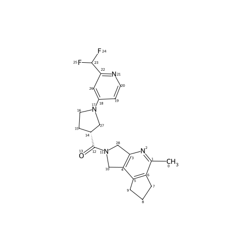 Cc1nc2c(c3c1CCC3)CN(C(=O)[C@@H]1CCN(c3ccnc(C(F)F)c3)C1)C2